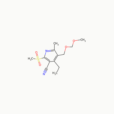 CCc1c(C#N)c(S(C)(=O)=O)nc(C)c1COCOC